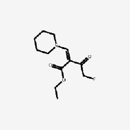 CCOC(=O)C(=CN1CCCCC1)C(=O)CF